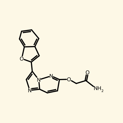 NC(=O)COc1ccc2ncc(-c3cc4ccccc4o3)n2n1